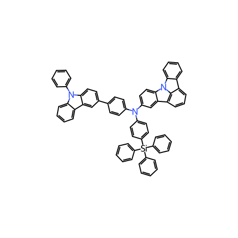 c1ccc(-n2c3ccccc3c3cc(-c4ccc(N(c5ccc([Si](c6ccccc6)(c6ccccc6)c6ccccc6)cc5)c5ccc6c(c5)c5cccc7c8ccccc8n6c75)cc4)ccc32)cc1